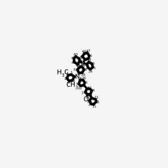 Cc1cc(C)cc(N(c2ccc(-c3ccc4c(c3)oc3ccccc34)cc2)c2ccc([Si](c3ccccc3)(c3ccccc3)c3ccccc3)cc2)c1